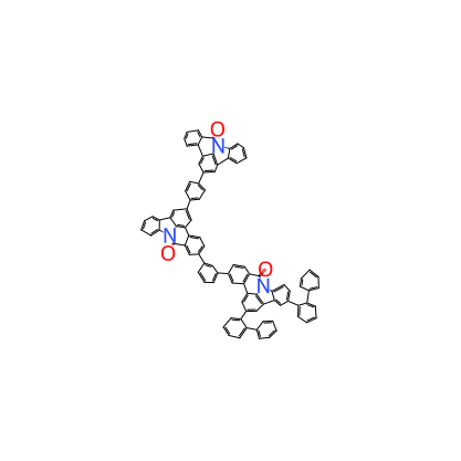 O=c1c2ccccc2c2cc(-c3ccc(-c4cc5c6ccc(-c7cccc(-c8ccc9c(=O)n%10c%11ccc(-c%12ccccc%12-c%12ccccc%12)cc%11c%11cc(-c%12ccccc%12-c%12ccccc%12)cc(c9c8)c%11%10)c7)cc6c(=O)n6c7ccccc7c(c4)c56)cc3)cc3c4ccccc4n1c23